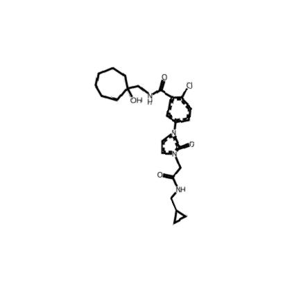 O=C(Cn1ccn(-c2ccc(Cl)c(C(=O)NCC3(O)CCCCCC3)c2)c1=O)NCC1CC1